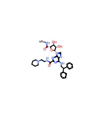 CCCNC(=O)[C@H]1O[C@@H](n2cnc3c(NCC(c4ccccc4)c4ccccc4)nc(C(=O)NCCN4CCCCC4)nc32)[C@@H](O)[C@@H]1O